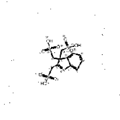 O=S(=O)(O)CC1=Nc2ccccc2C1(CS(=O)(=O)O)CS(=O)(=O)O